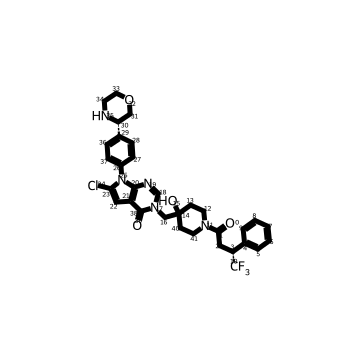 O=C(C[C@H](c1ccccc1)C(F)(F)F)N1CCC(O)(Cn2cnc3c(cc(Cl)n3-c3ccc([C@H]4COCCN4)cc3)c2=O)CC1